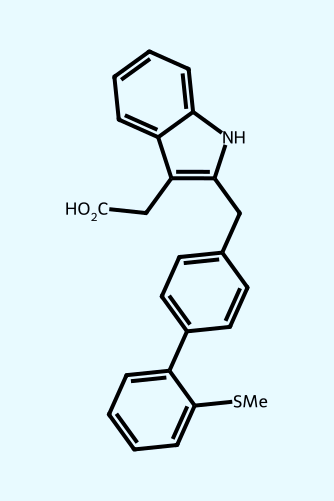 CSc1ccccc1-c1ccc(Cc2[nH]c3ccccc3c2CC(=O)O)cc1